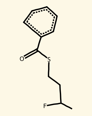 CC(F)CCSC(=O)c1ccccc1